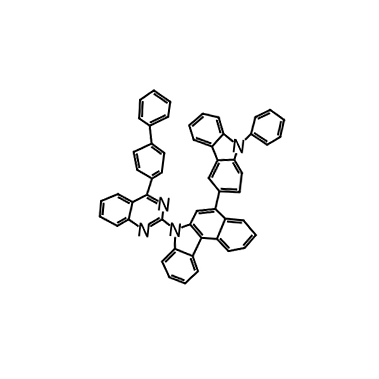 c1ccc(-c2ccc(-c3nc(-n4c5ccccc5c5c6ccccc6c(-c6ccc7c(c6)c6ccccc6n7-c6ccccc6)cc54)nc4ccccc34)cc2)cc1